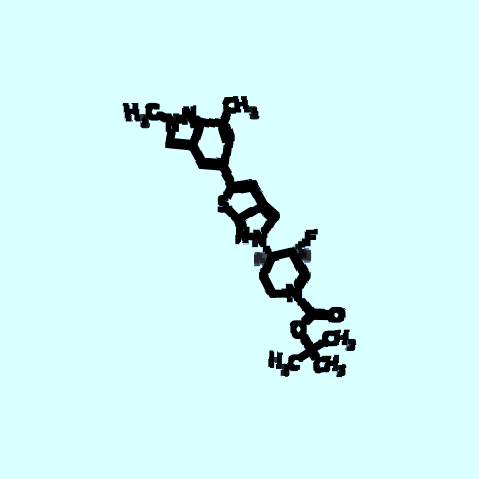 Cc1cc(-c2cc3cn([C@H]4CCN(C(=O)OC(C)(C)C)C[C@H]4F)nc3s2)cc2cn(C)nc12